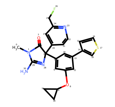 CN1C(=O)C(c2cc(OC3CC3)cc(-c3ccsc3)c2)(c2ccnc(CF)c2)N=C1N